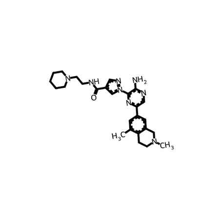 Cc1cc(-c2cnc(N)c(-n3cc(C(=O)NCCN4CCCCC4)cn3)n2)cc2c1CCN(C)C2